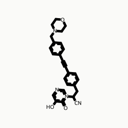 N#CC(Cc1ccc(C#Cc2ccc(CN3CCOCC3)cc2)cc1)n1cncc(O)c1=O